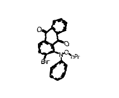 CCCON(c1ccccc1)c1c(Br)ccc2c1C(=O)c1ccccc1C2=O